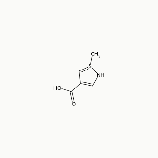 CS1=CC(C(=O)O)=CN1